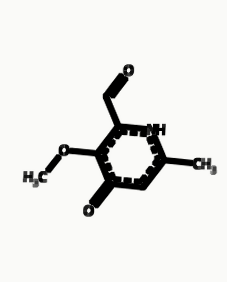 COc1c(C=O)[nH]c(C)cc1=O